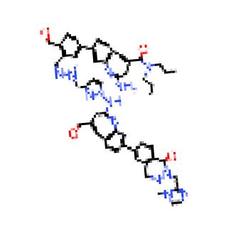 CCCN(CCC)C(=O)C1=Cc2ccc(-c3ccc(C=O)c(/C=N\N(C)Cc4ccn(NC5=Nc6cc(-c7ccc8c(=O)n(Cc9nccn9C)ncc8c7)ccc6C=C(C=O)C5)n4)c3)cc2N=C(N)C1